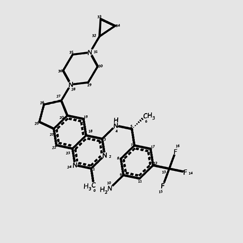 Cc1nc(N[C@H](C)c2cc(N)cc(C(F)(F)F)c2)c2cc3c(cc2n1)CCC3N1CCN(C2CC2)CC1